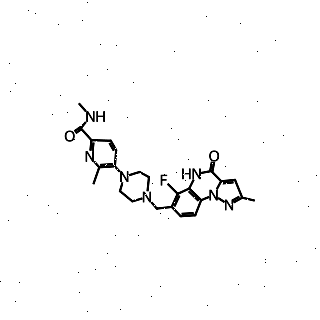 CNC(=O)c1ccc(N2CCN(Cc3ccc4c([nH]c(=O)c5cc(C)nn54)c3F)CC2)c(C)n1